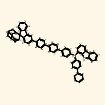 C1=CCCC(c2ccc(N(c3ccc(-c4ccc(-c5ccc(-c6ccc7c(c6)-c6ccccc6C76C7CC8CC(C7)CC6C8)cc5)cc4)cc3)c3cccc4c3oc3ccccc34)cc2)=C1